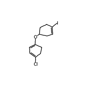 ClC1=CC=C(OC2CC=C(I)CC2)CC1